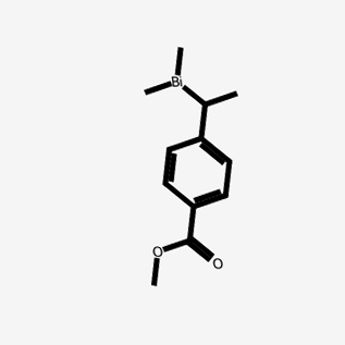 COC(=O)c1ccc([CH](C)[Bi]([CH3])[CH3])cc1